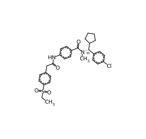 CCS(=O)(=O)c1ccc(CC(=O)Nc2ccc(C(=O)N(C)[C@@H](c3ccc(Cl)cc3)C3CCCC3)cc2)cc1